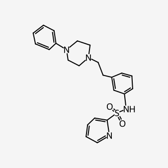 O=S(=O)(Nc1cccc(CCN2CCN(c3ccccc3)CC2)c1)c1ccccn1